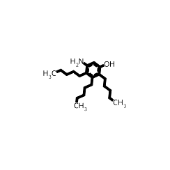 CCCCCc1c(N)cc(O)c(CCCCC)c1CCCCC